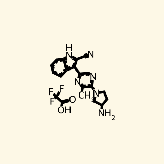 Cc1nc(-c2c(C#N)[nH]c3ccccc23)cnc1N1CCC(N)C1.O=C(O)C(F)(F)F